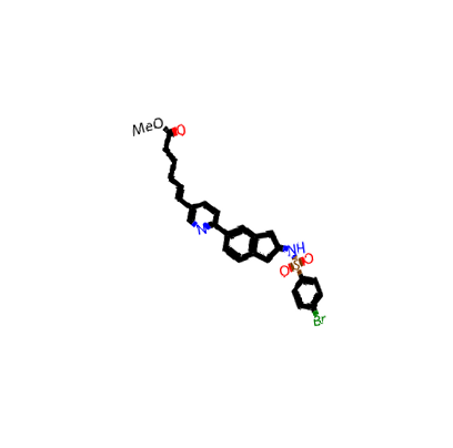 COC(=O)CCCC=Cc1ccc(-c2ccc3c(c2)CC(NS(=O)(=O)c2ccc(Br)cc2)C3)nc1